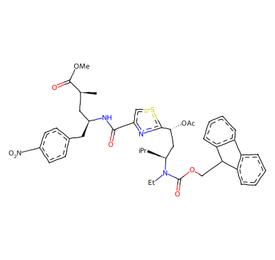 CCN(C(=O)OCC1c2ccccc2-c2ccccc21)[C@H](C[C@@H](OC(C)=O)c1nc(C(=O)N[C@@H](Cc2ccc([N+](=O)[O-])cc2)C[C@H](C)C(=O)OC)cs1)C(C)C